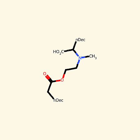 CCCCCCCCCCCC(=O)OCCN(C)C(CCCCCCCCCC)C(=O)O